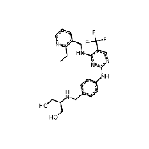 CCc1ncccc1CNc1nc(Nc2ccc(CNC(CO)CO)cc2)ncc1C(F)(F)F